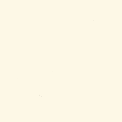 CC(C)=CCCC(C)=CCOC(=O)c1cnc(C(=O)O)c(OCC(C)C)c1